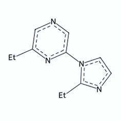 CCc1cncc(-n2ccnc2CC)n1